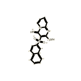 CSc1nc2ccccn2c(=N)c1S(=O)(=O)c1ccc2ccccc2c1